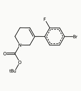 CC(C)(C)OC(=O)N1CCC=C(c2ccc(Br)cc2F)C1